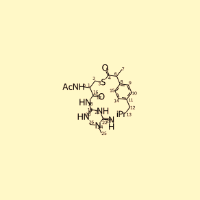 CC(=O)NC(CSC(=O)C(C)c1ccc(CC(C)C)cc1)C(=O)NC(=N)NC(=N)N(C)C